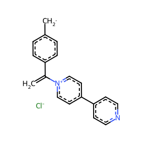 [CH2]c1ccc(C(=C)[n+]2ccc(-c3ccncc3)cc2)cc1.[Cl-]